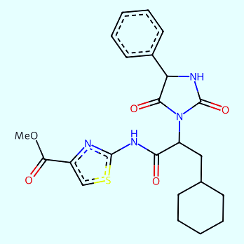 COC(=O)c1csc(NC(=O)C(CC2CCCCC2)N2C(=O)NC(c3ccccc3)C2=O)n1